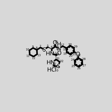 Cl.O=C(N[C@@H](CSCC1CCCCC1)C(=O)NCc1ccc(Oc2ccccc2)cc1)[C@@H]1CSCN1